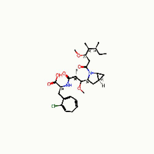 CC[C@H](C)[C@H](C)[C@@H](CC(=O)N1C2C[C@H]2C[C@H]1C(OC)[C@@H](C)C(=O)N[C@@H](CC1=CC=CCC=C1Cl)C(=O)O)OC